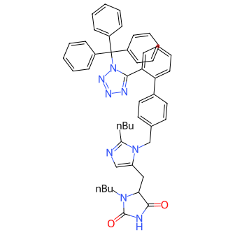 CCCCc1ncc(CC2C(=O)NC(=O)N2CCCC)n1Cc1ccc(-c2ccccc2-c2nnnn2C(c2ccccc2)(c2ccccc2)c2ccccc2)cc1